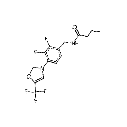 CCCC(=O)NCc1ccc(N2C=C(C(F)(F)F)OC2)c(F)c1F